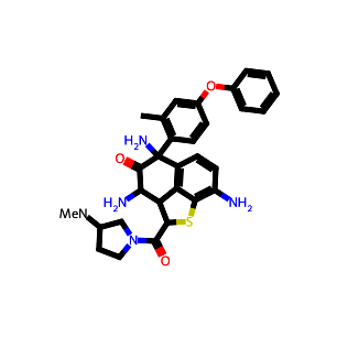 CNC1CCN(C(=O)C2Sc3c(N)ccc4c3C2C(N)C(=O)C4(N)c2ccc(Oc3ccccc3)cc2C)C1